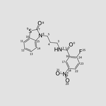 O=C(NCCCn1c(=O)sc2ccccc21)c1cc([N+](=O)[O-])ccc1F